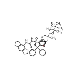 CC1(CO[Si](C)(C)C(C)(C)C)COc2c(S(=O)(=NC(c3ccccc3)(c3ccccc3)c3ccccc3)NC(=O)Nc3c4c(cc5c3CCC5)CCC4)cnn2C1